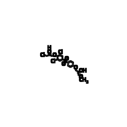 COC[C@@H](O)COc1ccc(S(=O)(=O)c2cc(Cl)c(OC[C@@H](O)CCl)c(Cl)c2)cc1